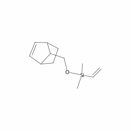 C=C[Si](C)(C)OCC1C2C=CC1CC2